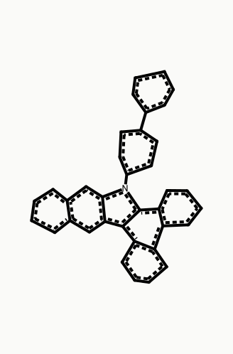 c1ccc(-c2ccc(-n3c4cc5ccccc5cc4c4c5ccccc5c5ccccc5c43)cc2)cc1